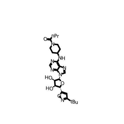 CCCC(=O)N1CCC(Nc2ncnc3c2ncn3[C@@H]2O[C@H](c3cc(C(C)(C)C)no3)[C@@H](O)[C@H]2O)CC1